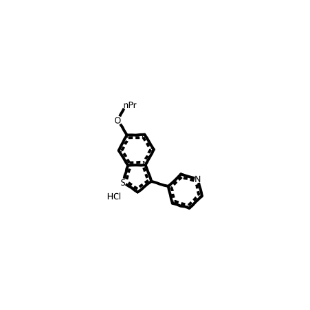 CCCOc1ccc2c(-c3cccnc3)csc2c1.Cl